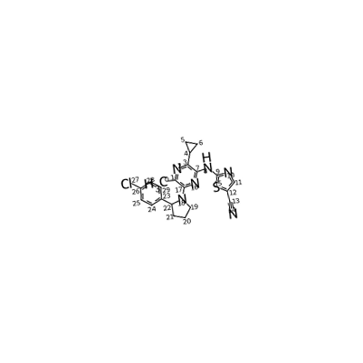 Cc1nc(C2CC2)c(Nc2ncc(C#N)s2)nc1N1CCCC1c1ccc(Cl)cc1